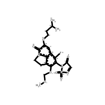 COCOc1c(N2C(=O)C=NS2(=O)=O)c(F)c2cc(OCCC(C)C)c(=O)n3c2c1CC3